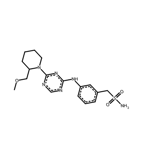 COCC1CCCCN1c1ncnc(Nc2cccc(CS(N)(=O)=O)c2)n1